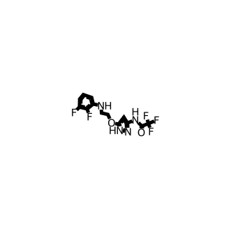 O=C(Nc1cc(OCCNc2cccc(F)c2F)[nH]n1)C(F)(F)F